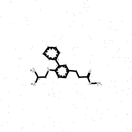 COC(=O)CCc1ccc(OCC(C)C)c(-c2ccccc2)c1